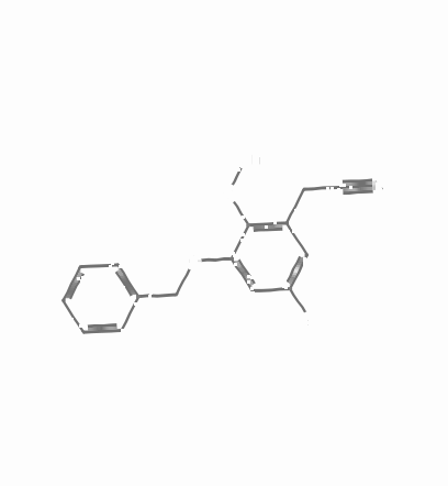 COc1c(CC#N)cc(F)cc1OCc1ccccc1